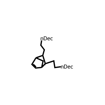 CCCCCCCCCCCC[C]1C2C=CC(C2)C1CCCCCCCCCCCC